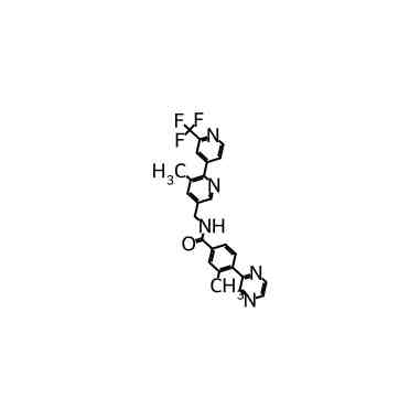 Cc1cc(C(=O)NCc2cnc(-c3ccnc(C(F)(F)F)c3)c(C)c2)ccc1-c1cnccn1